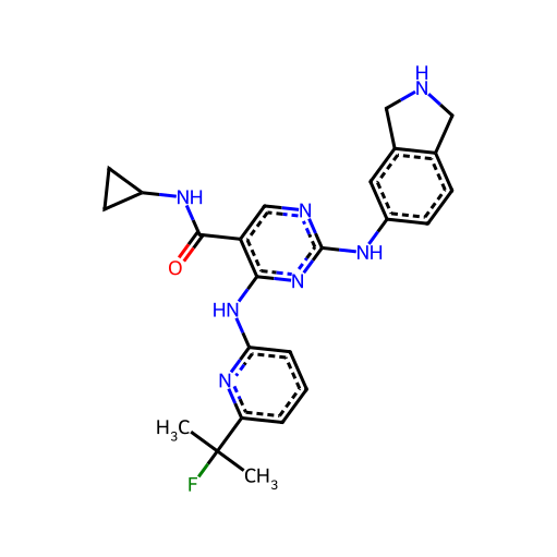 CC(C)(F)c1cccc(Nc2nc(Nc3ccc4c(c3)CNC4)ncc2C(=O)NC2CC2)n1